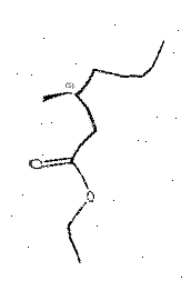 CCC[C@H](C)CC(=O)OCC